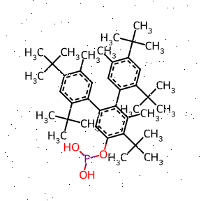 Cc1cc(-c2cc(OP(O)O)c(C(C)(C)C)c(C)c2-c2cc(C)c(C(C)(C)C)cc2C(C)(C)C)c(C(C)(C)C)cc1C(C)(C)C